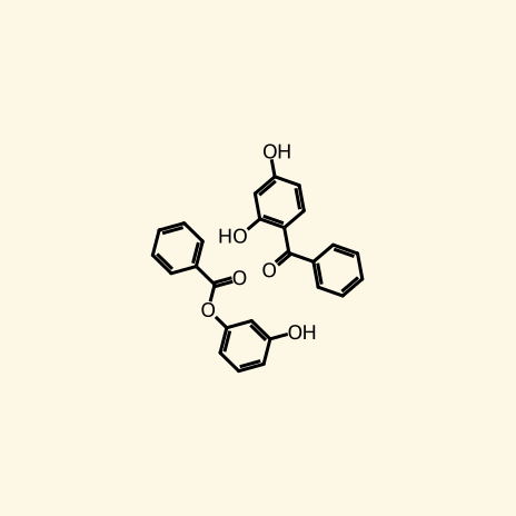 O=C(Oc1cccc(O)c1)c1ccccc1.O=C(c1ccccc1)c1ccc(O)cc1O